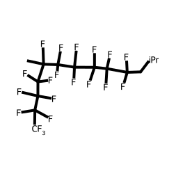 CC(C)CC(F)(F)C(F)(F)C(F)(F)C(F)(F)C(F)(F)C(C)(F)C(F)(F)C(F)(F)C(F)(F)C(F)(F)F